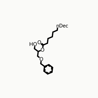 CCCCCCCCCCCCCCCC(=O)OC(CO)COCc1ccccc1